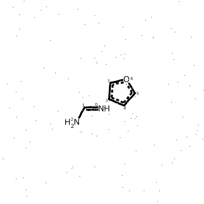 N=CN.c1ccoc1